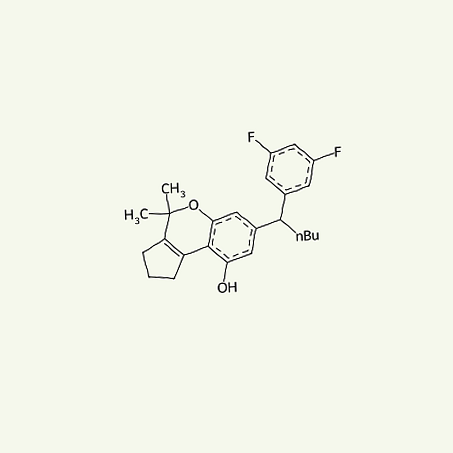 CCCCC(c1cc(F)cc(F)c1)c1cc(O)c2c(c1)OC(C)(C)C1=C2CCC1